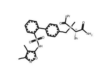 CCCC(=O)[N+](C)(Cc1ccc(-c2ccccc2S(=O)(=O)Nc2onc(C)c2C)cc1)[C@H](C(N)=O)C(C)C